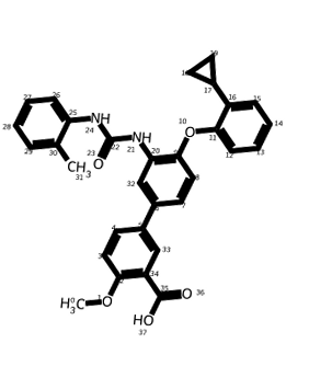 COc1ccc(-c2ccc(Oc3ccccc3C3CC3)c(NC(=O)Nc3ccccc3C)c2)cc1C(=O)O